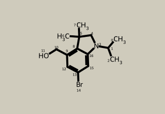 CC(C)N1CC(C)(C)c2c(CO)cc(Br)cc21